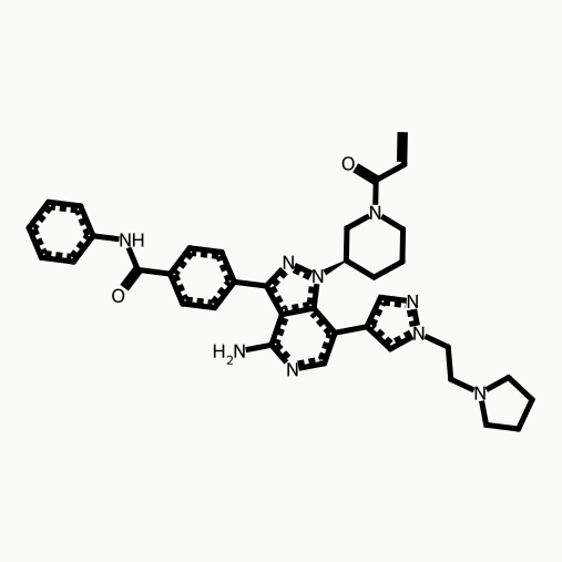 C=CC(=O)N1CCC[C@@H](n2nc(-c3ccc(C(=O)Nc4ccccc4)cc3)c3c(N)ncc(-c4cnn(CCN5CCCC5)c4)c32)C1